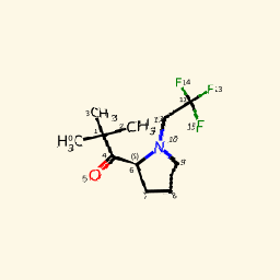 CC(C)(C)C(=O)[C@@H]1CCCN1CC(F)(F)F